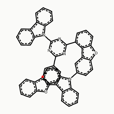 c1ccc2c(c1)oc1ccc(-c3nc(-c4cccc5oc6ccc(-n7c8ccccc8c8ccccc87)cc6c45)nc(-n4c5ccccc5c5ccccc54)n3)cc12